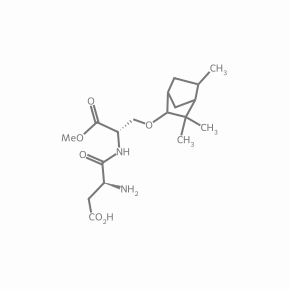 COC(=O)[C@H](COC1C2CC(C)C(C2)C1(C)C)NC(=O)[C@@H](N)CC(=O)O